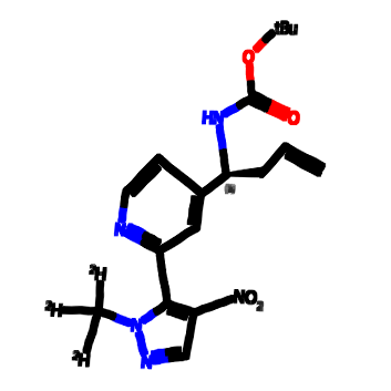 [2H]C([2H])([2H])n1ncc([N+](=O)[O-])c1-c1cc([C@H](CC=C)NC(=O)OC(C)(C)C)ccn1